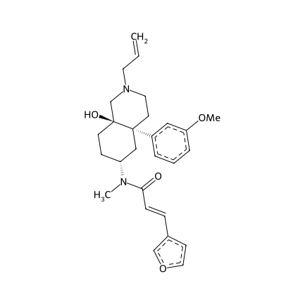 C=CCN1CC[C@@]2(c3cccc(OC)c3)C[C@H](N(C)C(=O)/C=C/c3ccoc3)CC[C@]2(O)C1